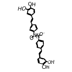 [O-]/[N+](c1ccc(C=Cc2ccc(O)c(O)c2)cc1)=[N+](/[O-])c1ccc(C=Cc2ccc(O)c(O)c2)cc1